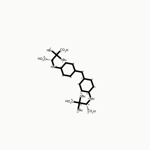 CCCCC(CCCC)(C(=O)O)[C@H](NC1CCC(CC2CCC(N[C@H](C(=O)O)C(CCCC)(CCCC)C(=O)O)CC2)CC1)C(=O)O